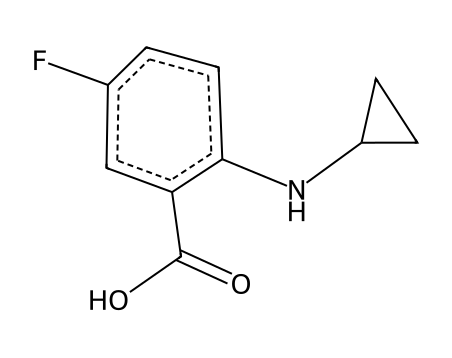 O=C(O)c1cc(F)ccc1NC1CC1